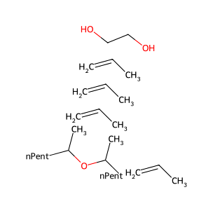 C=CC.C=CC.C=CC.C=CC.CCCCCC(C)OC(C)CCCCC.OCCO